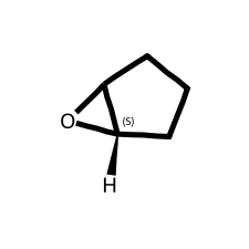 C1CC2O[C@H]2C1